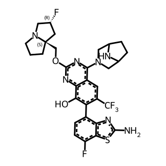 Nc1nc2c(-c3c(C(F)(F)F)cc4c(N5CC6CCC(C5)N6)nc(OC[C@@]56CCCN5C[C@H](F)C6)nc4c3O)ccc(F)c2s1